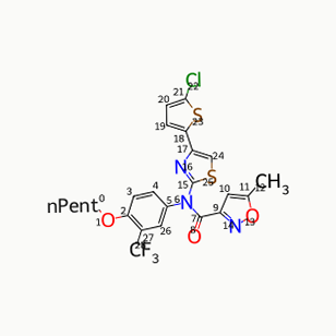 CCCCCOc1ccc(N(C(=O)c2cc(C)on2)c2nc(-c3ccc(Cl)s3)cs2)cc1C(F)(F)F